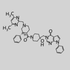 Cc1cc(C)nc(CN2CC[C@@H](C(=O)N3CCC(O)(Cn4cnc5c(ccn5-c5ccccc5)c4=O)CC3)[C@H](c3ccccc3)C2)n1